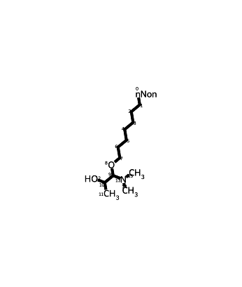 CCCCCCCCCCCCCCCCOC(C(C)O)N(C)C